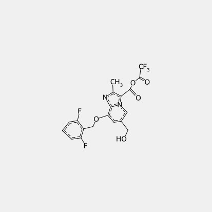 Cc1nc2c(OCc3c(F)cccc3F)cc(CO)cn2c1C(=O)OC(=O)C(F)(F)F